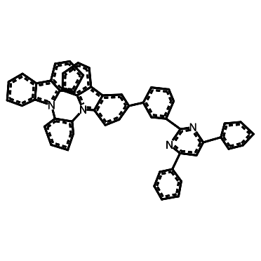 c1ccc(-c2cc(-c3ccccc3)nc(-c3cccc(-c4ccc5c(c4)c4ccccc4n5-c4ccccc4-n4c5ccccc5c5ccccc54)c3)n2)cc1